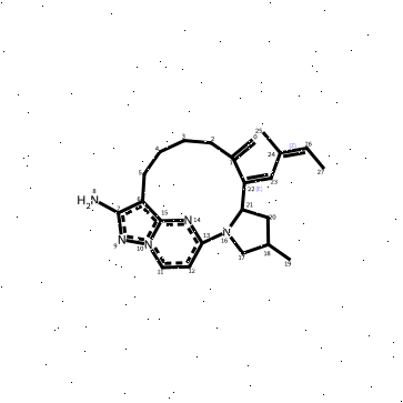 C=C1CCCCc2c(N)nn3ccc(nc23)N2CC(C)CC2/C1=C/C(C)=C\C